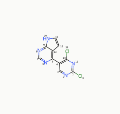 Clc1ncc(-c2ncnc3[nH]ccc23)c(Cl)n1